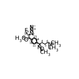 CO/N=C(\CCCN(C)C)c1ccc([C@@H](OC)[C@@H](CF)N=[N+]=[N-])cc1